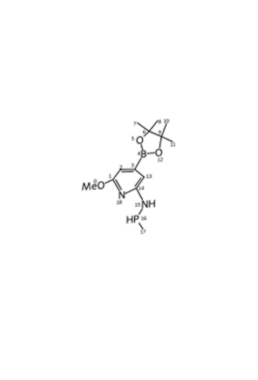 COc1cc(B2OC(C)(C)C(C)(C)O2)cc(NPC)n1